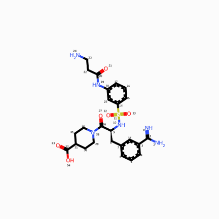 N=C(N)c1cccc(C[C@H](NS(=O)(=O)c2cccc(NC(=O)CCN)c2)C(=O)N2CCC(C(=O)O)CC2)c1